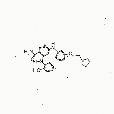 CCN(c1ccccc1O)c1cc(Nc2cccc(OCCN3CCCC3)c2)ncc1C(N)=O